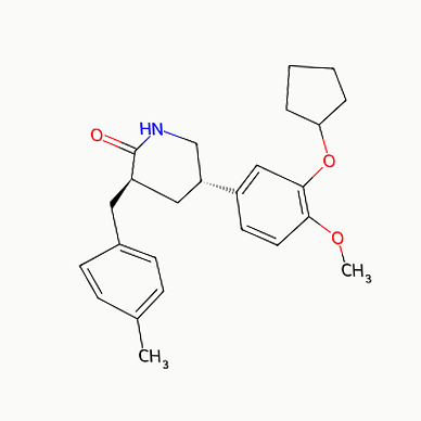 COc1ccc([C@H]2CNC(=O)[C@H](Cc3ccc(C)cc3)C2)cc1OC1CCCC1